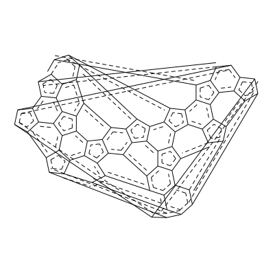 c12c3c4c5c6c7c3c3c1c1c8c9c2c2c4c4c5c5c%10c6c6c7c7c%11c%12c%13c%14c%15c%16c%17c%18c%19c%20c%21c%17c%17c%16c%13c%11c%11c%17c%13c%21c%16c%20c%17c%20c%19c%19c%18c%15c%15c%14c(c%10c%10c5c5c4c4c2c9c(c%17c4c%20c5c%19c%15%10)c%16c8c%13c1c%11c37)c6%12